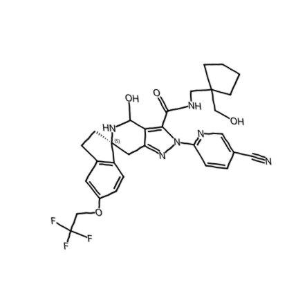 N#Cc1ccc(-n2nc3c(c2C(=O)NCC2(CO)CCCC2)C(O)N[C@@]2(CCc4cc(OCC(F)(F)F)ccc42)C3)nc1